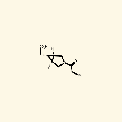 CC(C)(C)OC(=O)N1C[C@@H]2[C@@H](CC(=O)O)[C@@H]2C1